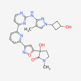 Cc1cn(C2CC(O)C2)nc1Nc1nccc(-c2cccc(-c3cc(C4(O)CCN(C)C4=O)on3)n2)n1